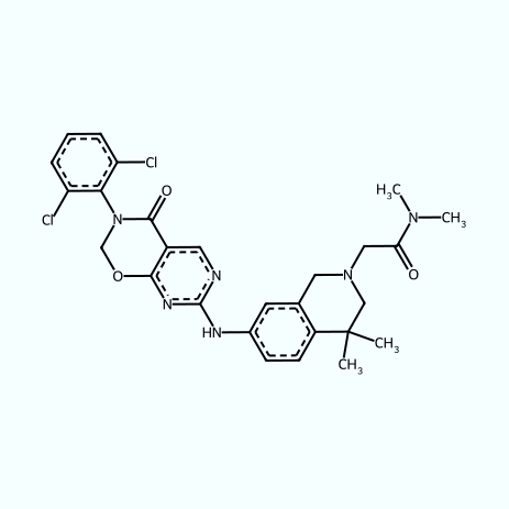 CN(C)C(=O)CN1Cc2cc(Nc3ncc4c(n3)OCN(c3c(Cl)cccc3Cl)C4=O)ccc2C(C)(C)C1